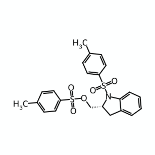 Cc1ccc(S(=O)(=O)OC[C@H]2Cc3ccccc3N2S(=O)(=O)c2ccc(C)cc2)cc1